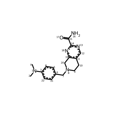 CN(C)c1ccc(CN2CCc3[c]nc(C(N)=O)nc3C2)cc1